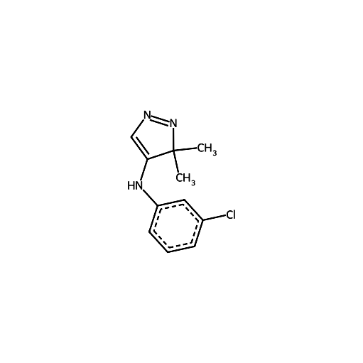 CC1(C)N=NC=C1Nc1cccc(Cl)c1